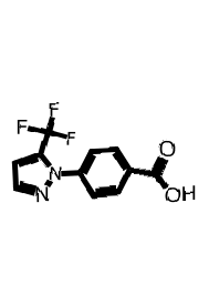 O=C(O)c1ccc(-n2nccc2C(F)(F)F)cc1